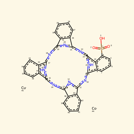 O=S(=O)(O)c1cccc2c3nc4nc(nc5[nH]c(nc6nc(nc([nH]3)c12)-c1ccccc1-6)c1ccccc51)-c1ccccc1-4.[Co].[Cu]